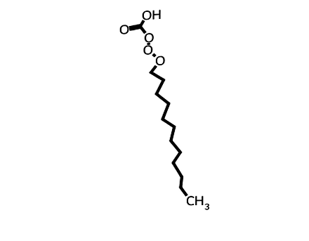 CCCCCCCCCCCCOOOC(=O)O